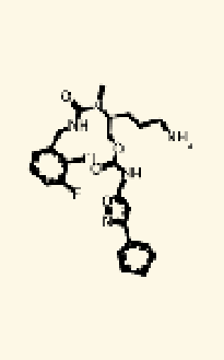 CN(C(=O)NCc1cccc(F)c1Cl)[C@@H](CCCN)COC(=O)Nc1cc(-c2ccccc2)no1